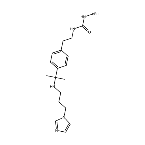 CCCCNC(=O)NCCc1ccc(C(C)(C)NCCCn2ccnc2)cc1